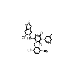 Cc1cncc(-n2c(=O)nc(Nc3cc4cn(C)nc4cc3Cl)n(Cc3cc(C#N)ccc3Cl)c2=O)c1